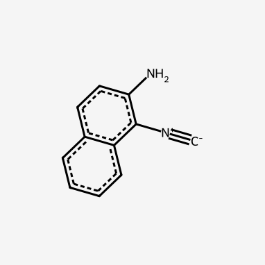 [C-]#[N+]c1c(N)ccc2ccccc12